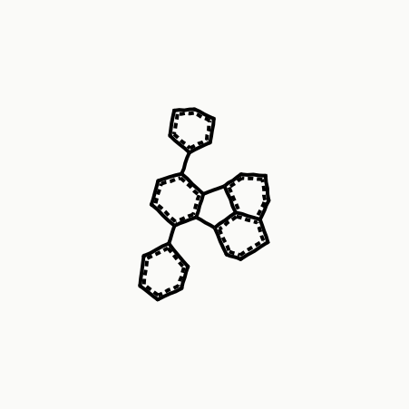 c1ccc(-c2ccc(-c3ccccc3)c3c2-c2cccc4cccc-3c24)cc1